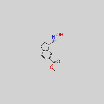 COC(=O)c1ccc2c(c1)C(/C=N/O)CC2